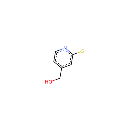 OCc1ccnc([S])c1